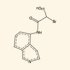 CCCCCCCCC(Br)C(=O)Nc1cccc2cnccc12